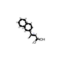 C/C(=C\C(=O)O)c1ccc2ccccc2c1